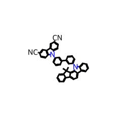 CC1(C)c2ccccc2-c2ccc3c4ccccc4n(-c4cccc(-c5cccc(-n6c7ccc(C#N)cc7c7cc(C#N)ccc76)c5)c4)c3c21